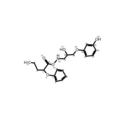 CCCC(Oc1ccccc1)C(=O)ONCC(O)COc1cccc(O)c1